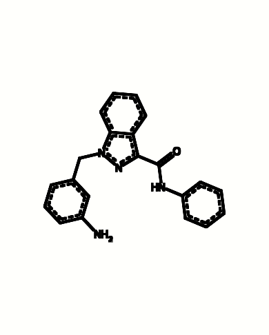 Nc1cccc(Cn2nc(C(=O)Nc3ccccc3)c3ccccc32)c1